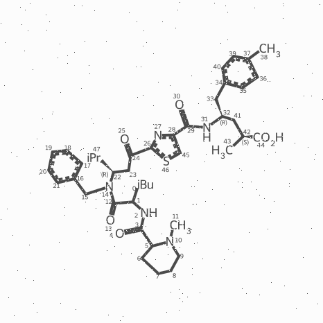 CCC(C)C(NC(=O)C1CCCCN1C)C(=O)N(Cc1ccccc1)[C@H](CC(=O)c1nc(C(=O)N[C@@H](Cc2ccc(C)cc2)C[C@H](C)C(=O)O)cs1)C(C)C